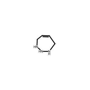 [C]1=CCNNN[CH]1